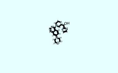 O[C@@H](c1nccs1)[C@H]1CCCN(c2nnnc3cc(N4CCOCC4)ccc23)C1